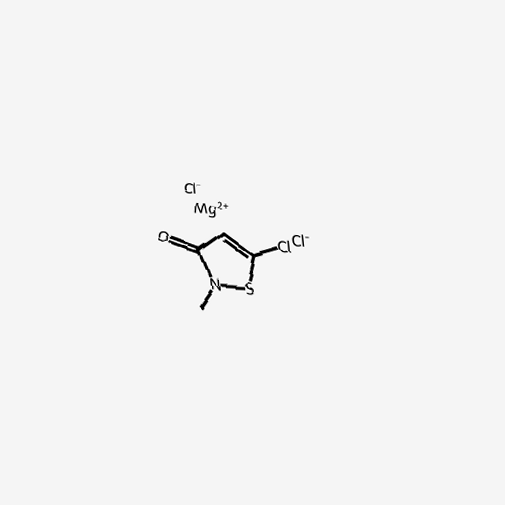 Cn1sc(Cl)cc1=O.[Cl-].[Cl-].[Mg+2]